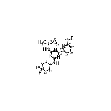 C[C@@H](Nc1nc(NC2CCC(F)(F)CC2)nc(-c2cccc(CF)n2)n1)C1CC1